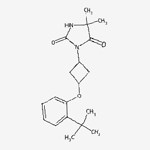 CC1(C)NC(=O)N(C2CC(Oc3ccccc3C(C)(C)C)C2)C1=O